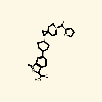 CN1NC(C(=O)O)c2ccc(C3CCC([C@H]4CC45CCN(C(=O)[C@H]4CCCO4)CC5)CC3)cc21